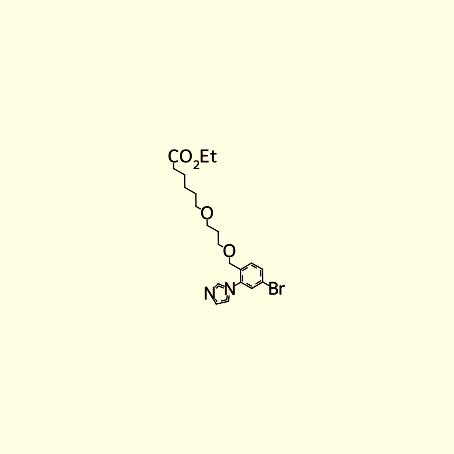 CCOC(=O)CCCCCOCCCOCc1ccc(Br)cc1-n1ccnc1